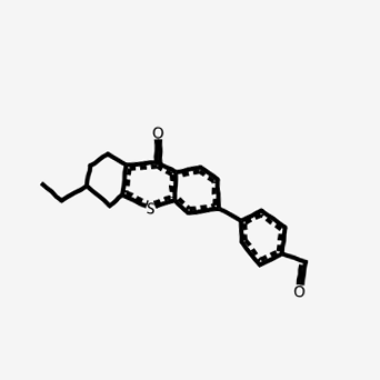 CCC1CCc2c(sc3cc(-c4ccc(C=O)cc4)ccc3c2=O)C1